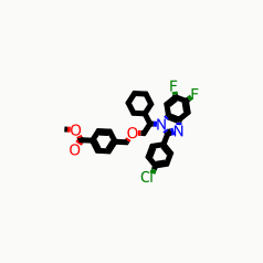 COC(=O)c1ccc(COCC(C2CCCCC2)n2c(-c3ccc(Cl)cc3)nc3cc(F)c(F)cc32)cc1